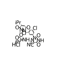 CC(C)c1cc(Oc2c(Cl)cc(-n3nc(C#N)c(=O)[nH]c3=O)cc2Cl)nn(COC(=O)[C@@H](N)C(C)C)c1=O.Cl